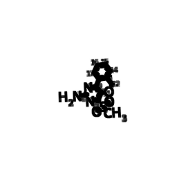 CS(=O)(=O)c1nc(N)nc2c1OCc1ccccc1-2